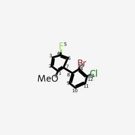 COc1ccc(F)cc1-c1cccc(Cl)c1Br